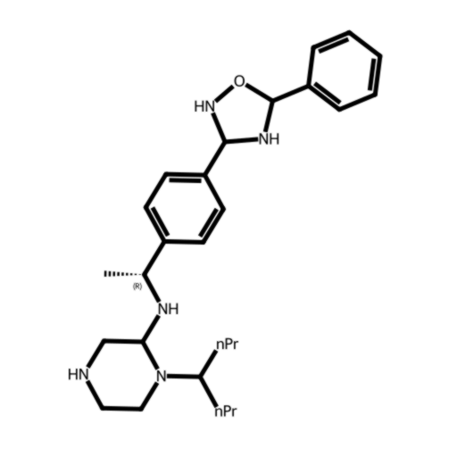 CCCC(CCC)N1CCNCC1N[C@H](C)c1ccc(C2NOC(c3ccccc3)N2)cc1